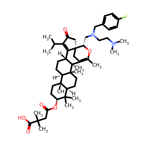 CC1=C2C[C@]3(CC(=O)C(C(C)C)=C3[C@H]3CC[C@@H]4[C@@]5(C)CC[C@H](OC(=O)CC(C)(C)C(=O)O)C(C)(C)[C@@H]5CC[C@@]4(C)[C@]23C)[C@H](CN(CCN(C)C)Cc2ccc(F)cc2)O1